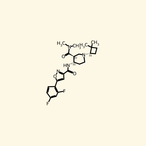 CN(C)C(=O)[C@H]1CN([C@H]2CCC2(C)C)CC[C@@H]1NC(=O)c1cc(-c2ccc(F)cc2F)on1